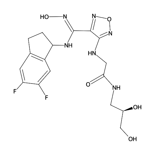 O=C(CNc1nonc1/C(=N/O)NC1CCc2cc(F)c(F)cc21)NC[C@@H](O)CO